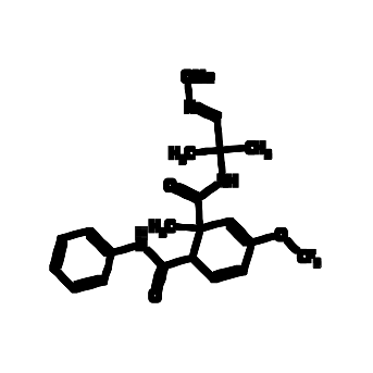 CON=CC(C)(C)NC(=O)C1(C)C=C(OC(F)(F)F)C=CC1C(=O)Nc1ccccc1